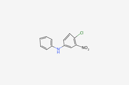 O=[N+]([O-])c1cc(Nc2ccccc2)ccc1Cl